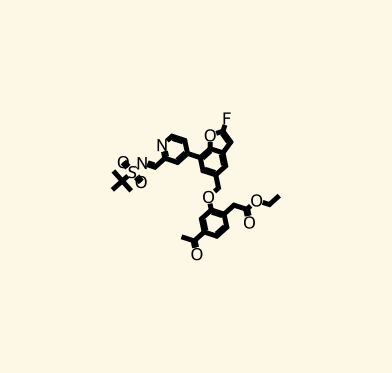 CCOC(=O)Cc1ccc(C(C)=O)cc1OCc1cc(-c2ccnc(C=NS(=O)(=O)C(C)(C)C)c2)c2oc(F)cc2c1